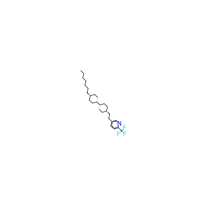 CCCCCCC[C@H]1CC[C@H]([C@H]2CC[C@H](CCc3ccc(C(F)(F)F)nc3)CC2)CC1